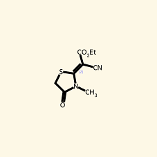 CCOC(=O)/C(C#N)=C1\SCC(=O)N1C